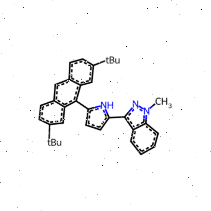 Cn1nc(-c2ccc(-c3c4cc(C(C)(C)C)ccc4cc4ccc(C(C)(C)C)cc34)[nH]2)c2ccccc21